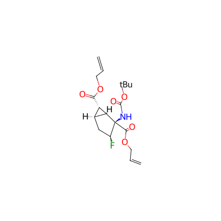 C=CCOC(=O)[C@H]1[C@@H]2C[C@H](F)[C@@](NC(=O)OC(C)(C)C)(C(=O)OCC=C)[C@@H]21